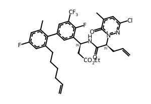 C=CCCCCc1cc(F)cc(C)c1-c1cc([C@H](CC(=O)OCC)NC(=O)[C@H](CC=C)n2nc(Cl)cc(C)c2=O)c(F)c(C(F)(F)F)c1